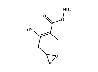 CCCC(CC1CO1)=C(C)C(=O)ON